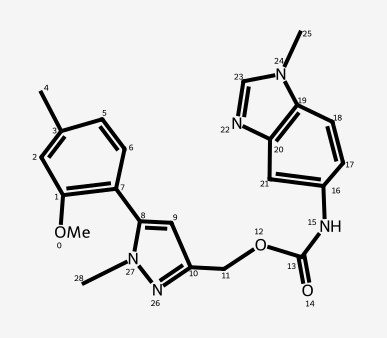 COc1cc(C)ccc1-c1cc(COC(=O)Nc2ccc3c(c2)ncn3C)nn1C